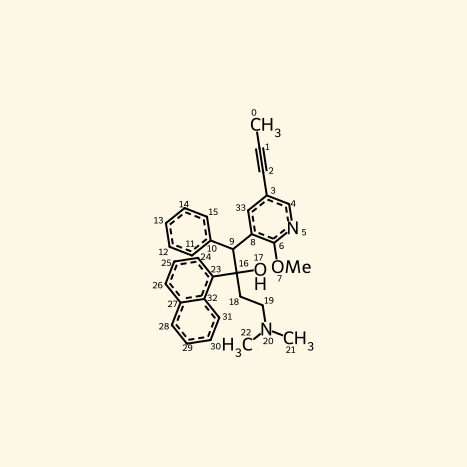 CC#Cc1cnc(OC)c(C(c2ccccc2)C(O)(CCN(C)C)c2cccc3ccccc23)c1